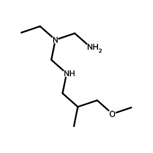 CCN(CN)CNCC(C)COC